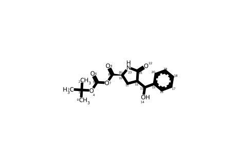 CC(C)(C)OC(=O)OC(=O)[C@@H]1CC(C(O)c2ccccc2)C(=O)N1